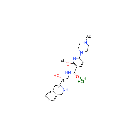 CCOc1nc(N2CCN(C(C)=O)CC2)ccc1C(=O)NC[C@@H](O)[C@@H]1Cc2ccccc2CN1.Cl.Cl